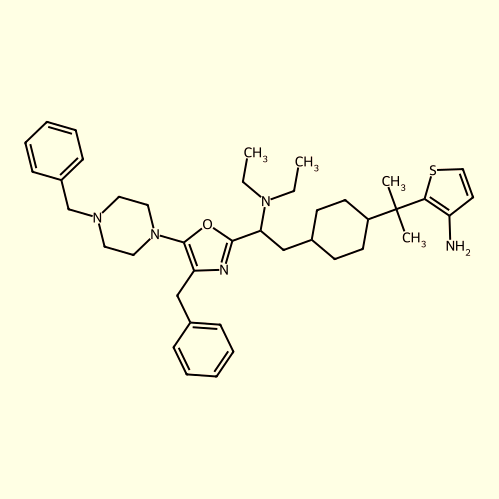 CCN(CC)C(CC1CCC(C(C)(C)c2sccc2N)CC1)c1nc(Cc2ccccc2)c(N2CCN(Cc3ccccc3)CC2)o1